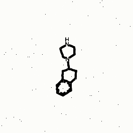 c1ccc2c(c1)CCC(N1CCNCC1)C2